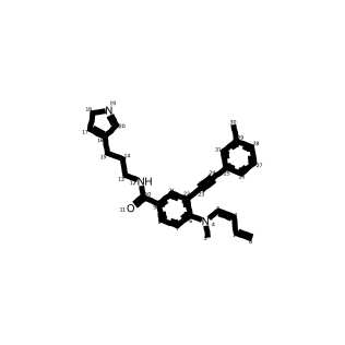 C=C/C=C\N(C)c1ccc(C(=O)NCCCC2=CCN=C2)cc1C#Cc1cccc(C)c1